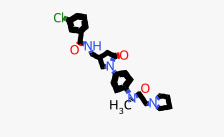 CN(C(=O)CN1CCCC1)c1ccc(N2CC(CNC(=O)c3cccc(Cl)c3)CC2=O)cc1